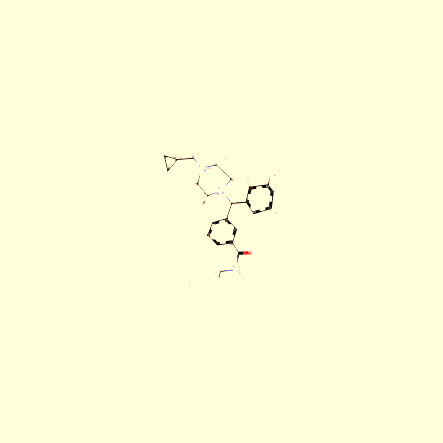 CCOC(=O)CN(C)C(=O)c1cccc(C(c2cccc(O)c2)N2C[C@@H](C)N(CC3CC3)C[C@@H]2C)c1